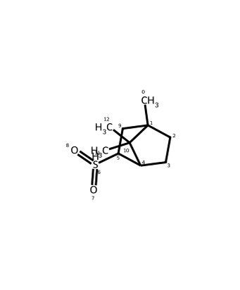 CC12CCC(C([SH](=O)=O)C1)C2(C)C